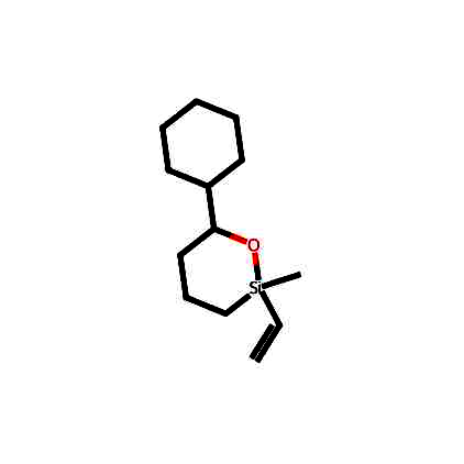 C=C[Si]1(C)CCCC(C2CCCCC2)O1